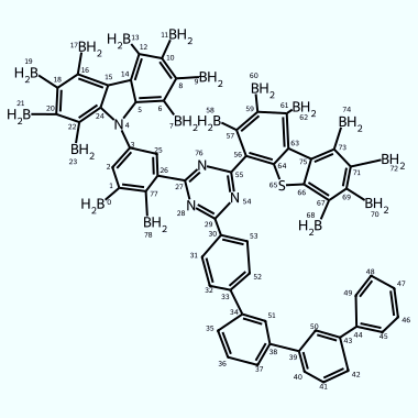 Bc1cc(-n2c3c(B)c(B)c(B)c(B)c3c3c(B)c(B)c(B)c(B)c32)cc(-c2nc(-c3ccc(-c4cccc(-c5cccc(-c6ccccc6)c5)c4)cc3)nc(-c3c(B)c(B)c(B)c4c3sc3c(B)c(B)c(B)c(B)c34)n2)c1B